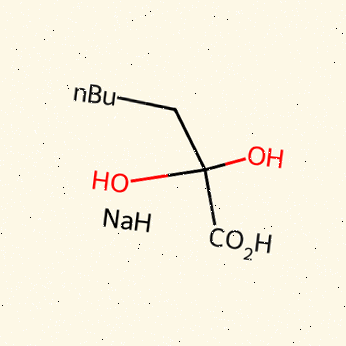 CCCCCC(O)(O)C(=O)O.[NaH]